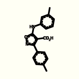 Cc1ccc(-c2noc(Nc3cccc(C)c3)c2C(=O)O)cc1